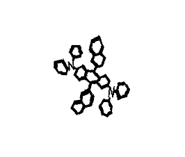 C1=CC=C(N(c2ccccc2)c2ccc3c(-c4ccc5ccccc5c4)c4cc(N(c5ccccc5)c5ccccc5)ccc4c(-c4ccc5ccccc5c4)c3c2)CC=C1